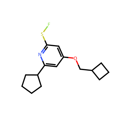 FSc1cc(OCC2CCC2)cc(C2CCCC2)n1